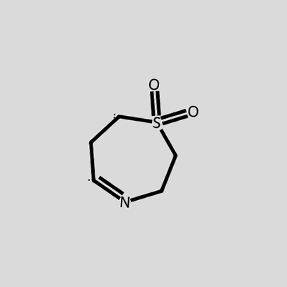 O=S1(=O)[C]C[C]=NCC1